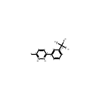 Cc1ccc(-c2cccc(C(F)(F)F)c2)nn1